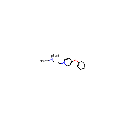 CCCCCN(CCCCC)CCCN1C=CC(OC2=CCC=CC2)=CC1